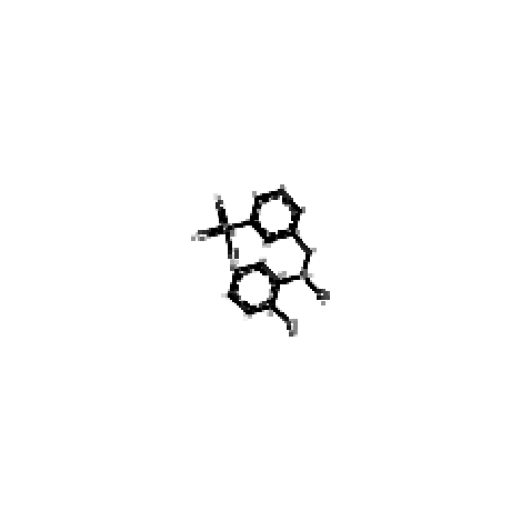 CCN(Cc1cccc(S(=O)(=O)Cl)c1)c1ccccc1Cl